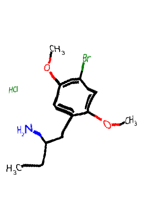 CCC(N)Cc1cc(OC)c(Br)cc1OC.Cl